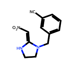 N#Cc1cccc(CN2CCNC2=C[N+](=O)[O-])c1